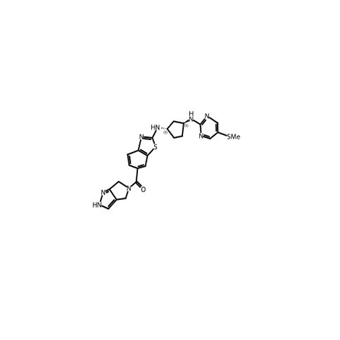 CSc1cnc(N[C@H]2CC[C@H](Nc3nc4ccc(C(=O)N5Cc6c[nH]nc6C5)cc4s3)C2)nc1